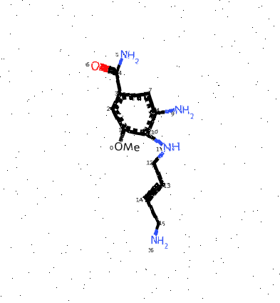 COc1cc(C(N)=O)cc(N)c1NC/C=C/CN